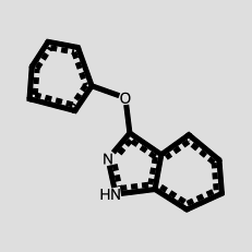 c1ccc(Oc2n[nH]c3ccccc23)cc1